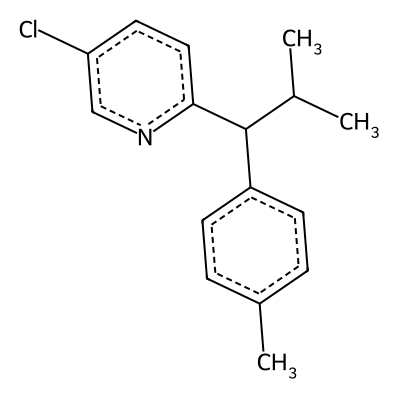 Cc1ccc(C(c2ccc(Cl)cn2)C(C)C)cc1